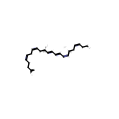 O=C(O)CC/C=C\C/C=C\C[C@@H](O)/C=C/C=C/C=C\[C@@H](O)C/C=C\CCO